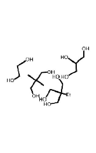 CC(C)(CO)CO.CCC(CO)(CO)CO.OCC(O)CO.OCCO